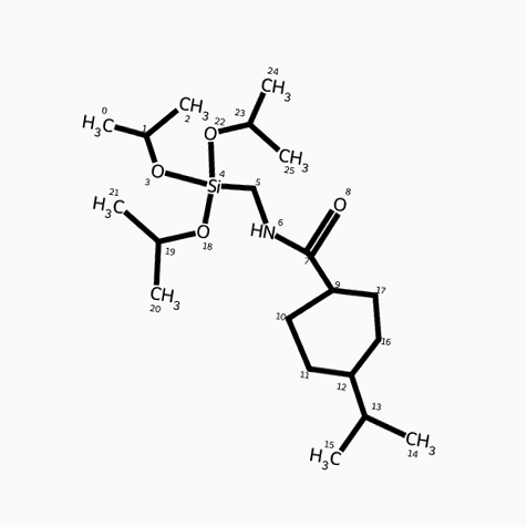 CC(C)O[Si](CNC(=O)C1CCC(C(C)C)CC1)(OC(C)C)OC(C)C